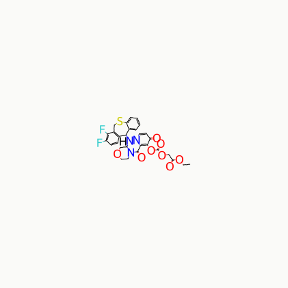 CCOC(=O)COC(=O)Oc1c2n(ccc1=O)N([C@@H]1c3ccccc3SCc3c1ccc(F)c3F)[C@@H]1COCCN1C2=O